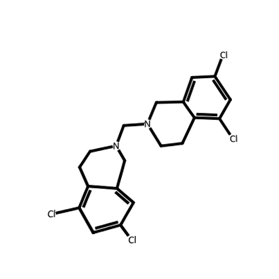 Clc1cc(Cl)c2c(c1)CN(CN1CCc3c(Cl)cc(Cl)cc3C1)CC2